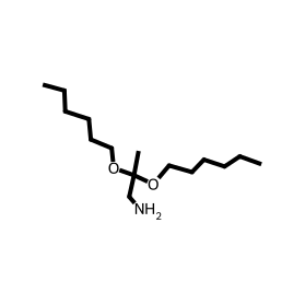 CCCCCCOC(C)(CN)OCCCCCC